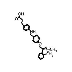 CON=C(COc1ccc(CNc2ccc(CCC(=O)O)cc2)cc1)c1ccccc1C